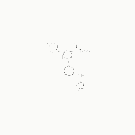 CNC(=O)c1cc(-c2ccnc(Nc3ccn(C)n3)c2)nc(N2CCNCC2)c1